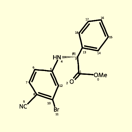 COC(=O)[C@H](Nc1ccc(C#N)c(Br)c1)c1ccccc1